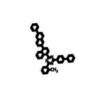 Cc1ccccc1-c1nc(-c2ccc(-c3ccccc3)cc2)nc(-c2ccc(-c3ccc4cc(-c5ccccc5)ccc4c3)c3ccccc23)n1